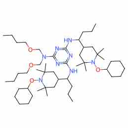 CCCCOCN(COCCCC)c1nc(NC(CCC)C2CC(C)(C)N(OC3CCCCC3)C(C)(C)C2)nc(NC(CCC)C2CC(C)(C)N(OC3CCCCC3)C(C)(C)C2)n1